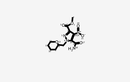 COC(=O)c1nn(CC2CCCCO2)c(C(N)=O)c1[N+](=O)[O-]